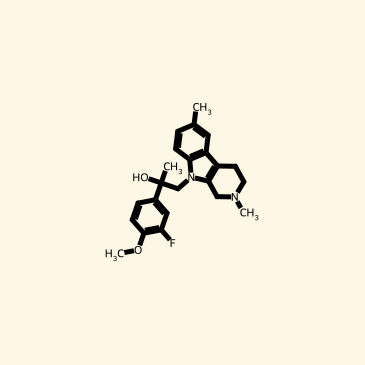 COc1ccc(C(C)(O)Cn2c3c(c4cc(C)ccc42)CCN(C)C3)cc1F